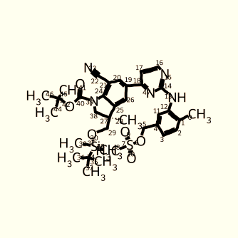 Cc1ccc(COS(C)(=O)=O)cc1Nc1nccc(-c2cc(C#N)c3c(c2)[C@@](C)(CO[Si](C)(C)C(C)(C)C)CN3C(=O)OC(C)(C)C)n1